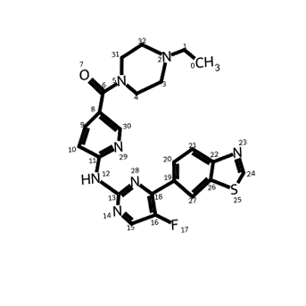 CCN1CCN(C(=O)c2ccc(Nc3ncc(F)c(-c4ccc5ncsc5c4)n3)nc2)CC1